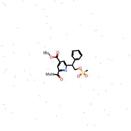 CNC(=O)c1cc(C(=O)OC(C)(C)C)cc(C(COS(C)(=O)=O)c2ccccc2)n1